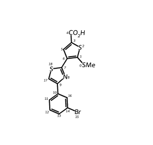 CSc1sc(C(=O)O)cc1-c1nc(-c2cccc(Br)c2)cs1